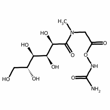 CN(CC(=O)ONC(N)=O)C(=O)[C@H](O)[C@@H](O)[C@H](O)[C@H](O)CO